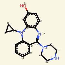 Oc1ccc2c(c1)N(C1CC1)c1ccccc1C(N1CCNCC1)=N2